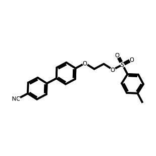 Cc1ccc(S(=O)(=O)OCCOc2ccc(-c3ccc(C#N)cc3)cc2)cc1